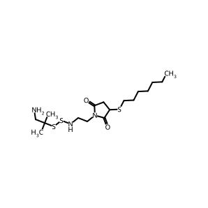 CCCCCCCSC1CC(=O)N(CCNSSC(C)(C)CN)C1=O